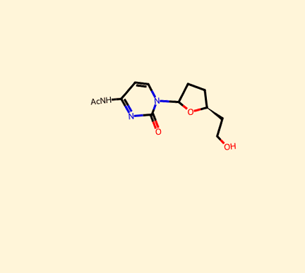 CC(=O)Nc1ccn(C2CC[C@@H](CCO)O2)c(=O)n1